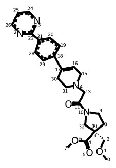 COC[C@@]1(C(=O)OC)CCN(C(=O)CN2CC=C(c3ccc(-c4ncccn4)cc3)CC2)C1